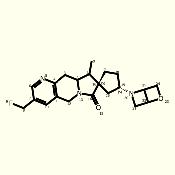 CC1C2Cc3ncc(CF)cc3CN2C(=O)[C@]12CC[C@H](N1CC3OCC31)C2